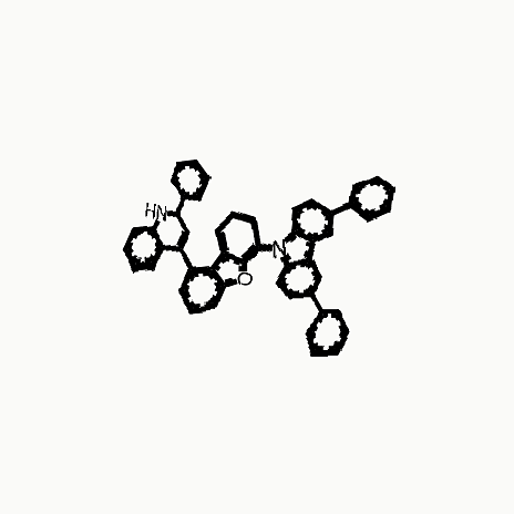 C1=C(c2cccc3oc4c(c23)=CCCC=4n2c3ccc(-c4ccccc4)cc3c3cc(-c4ccccc4)ccc32)c2ccccc2NC1c1ccccc1